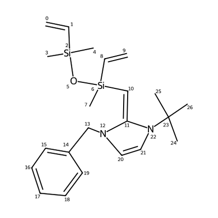 C=C[Si](C)(C)O[Si](C)(C=C)C=C1N(Cc2ccccc2)C=CN1C(C)(C)C